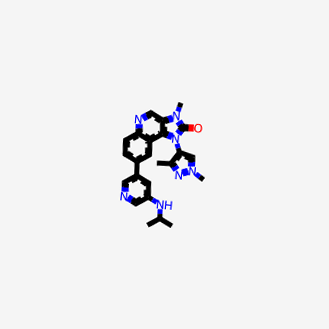 Cc1nn(C)cc1-n1c(=O)n(C)c2cnc3ccc(-c4cncc(NC(C)C)c4)cc3c21